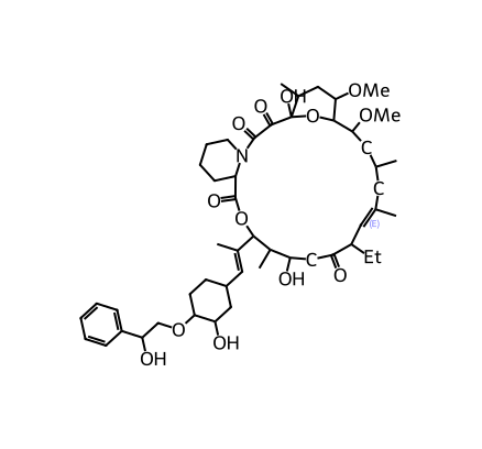 CCC1/C=C(\C)CC(C)CC(OC)C2OC(O)(C(=O)C(=O)N3CCCCC3C(=O)OC(C(C)=CC3CCC(OCC(O)c4ccccc4)C(O)C3)C(C)C(O)CC1=O)C(C)CC2OC